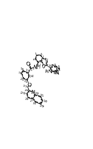 O=C(Nc1cccc2nc(-c3nnn[nH]3)oc12)c1cccc(OCc2ccc3ccccc3n2)c1